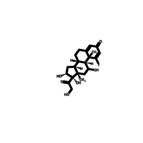 C[C@]12C(F)=CC(=O)C=C1CC[C@@H]1[C@@H]2C(O)C[C@@]2(C)[C@H]1C[C@@H](O)[C@]2(O)C(=O)CO